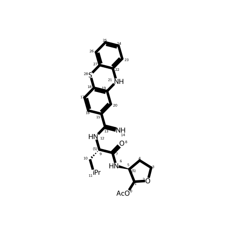 CC(=O)OC1OCC[C@@H]1NC(=O)[C@H](CC(C)C)NC(=N)c1ccc2c(c1)Nc1ccccc1S2